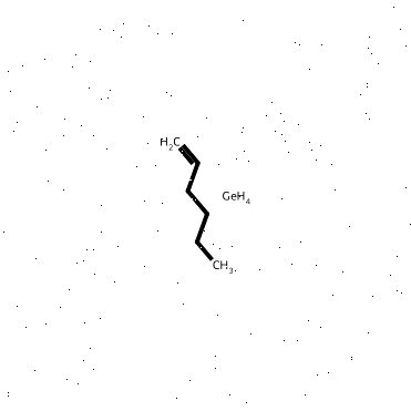 C=CCCCC.[GeH4]